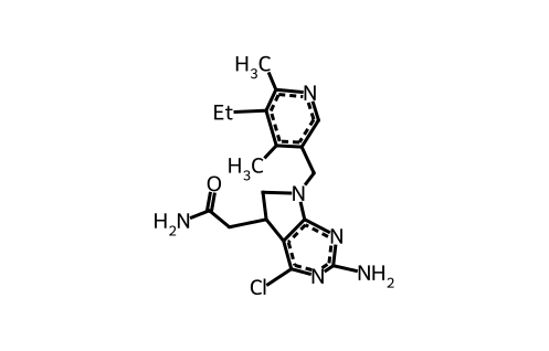 CCc1c(C)ncc(CN2CC(CC(N)=O)c3c(Cl)nc(N)nc32)c1C